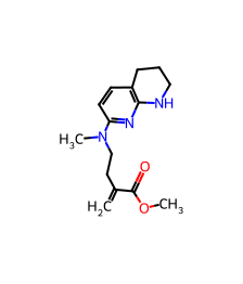 C=C(CCN(C)c1ccc2c(n1)NCCC2)C(=O)OC